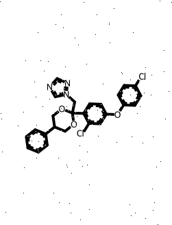 Clc1ccc(Oc2ccc(C3(Cn4cncn4)OCC(c4ccccc4)CO3)c(Cl)c2)cc1